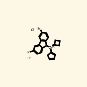 Brc1ccc2c(c1)-c1cc(Br)ccc1[CH]2[Zr+2]([C]1=CC=CC1)=[C]1CCC1.[Cl-].[Cl-]